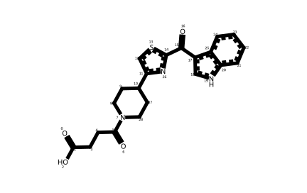 O=C(O)CCC(=O)N1CCC(c2csc(C(=O)c3c[nH]c4ccccc34)n2)CC1